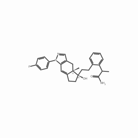 CC(C(N)=O)c1ccccc1CC[C@]1(O)CCC2=Cc3c(cnn3-c3ccc(F)cc3)C[C@@]21C